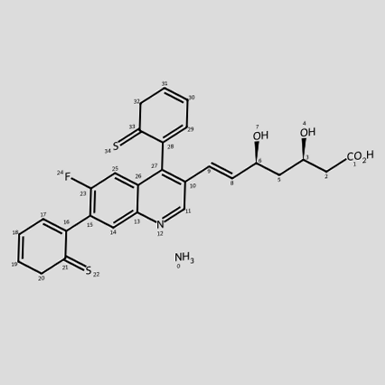 N.O=C(O)C[C@H](O)C[C@H](O)/C=C/c1cnc2cc(C3=CC=CCC3=S)c(F)cc2c1C1=CC=CCC1=S